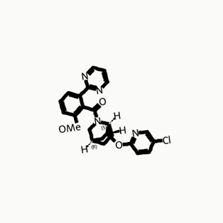 COc1cccc(-c2ncccn2)c1C(=O)N1C[C@@H]2CC[C@H]1[C@H](Oc1ccc(Cl)cn1)C2